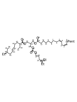 CCCCC/C=C\C/C=C\CCCCCCCC(=O)OCC(COC(=O)OCCCN(CC)CC)COC(=O)[C@H]1CC[C@H]([C@H]2CC[C@H](CC)CC2)CC1